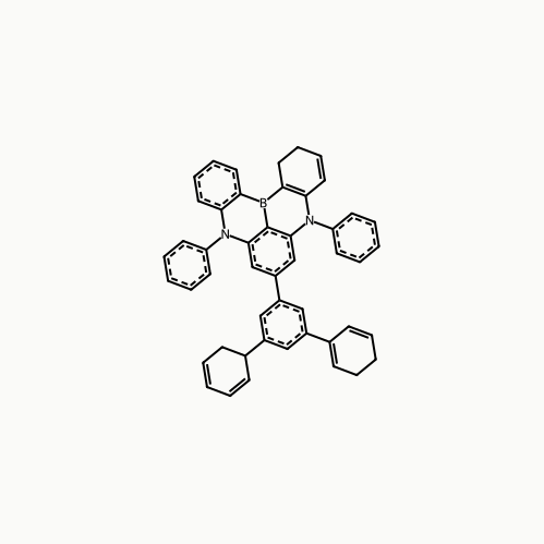 C1=CCC(c2cc(C3=CCCC=C3)cc(-c3cc4c5c(c3)N(c3ccccc3)c3ccccc3B5C3=C(C=CCC3)N4c3ccccc3)c2)C=C1